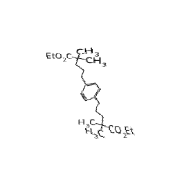 CCOC(=O)C(C)(C)CCCc1ccc(CCCC(C)(C)C(=O)OCC)cc1